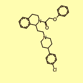 O=C(COc1ccccc1)N1CCc2ccccc2C1CCN1CCC(c2ccc(Cl)cc2)CC1